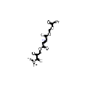 CCN(CC)C(=O)C(=O)COC(=O)/C=C/C(=O)OCOC(=O)C(C)C